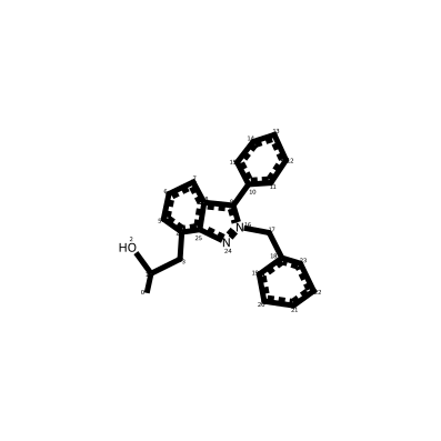 CC(O)Cc1cccc2c(-c3ccccc3)n(Cc3ccccc3)nc12